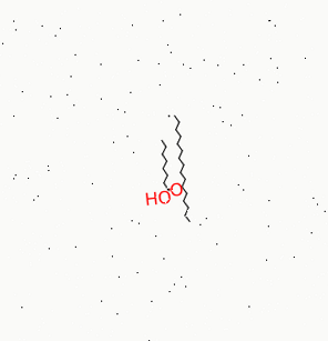 CCCCCCCC(=O)O.[CH2]CCCCCCCCCCCCCCC